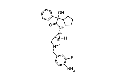 Nc1ccc(CN2CC3[C@H](C2)[C@H]3NC(=O)C(O)(c2ccccc2)C2CCCC2)cc1F